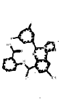 Cc1cc(C(C)Nc2ccccc2C(=O)O)c2nc(-c3cc(F)cc(F)c3)n3cnnc3c2c1